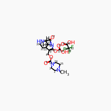 CN1CCN(C(=O)OCC2=C(OC(=O)O)N3C(=O)[C@H]4NCCC2[C@H]43)CC1.O=C(O)C(F)(F)F